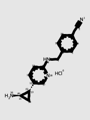 Cl.N#Cc1ccc(CNc2ccc([C@@H]3C[C@H]3N)cn2)cc1